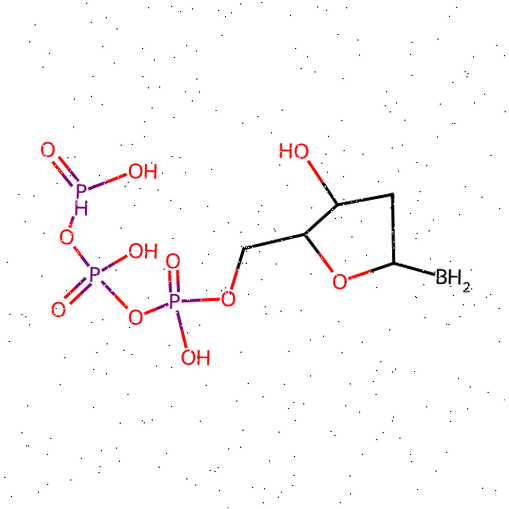 BC1CC(O)C(COP(=O)(O)OP(=O)(O)O[PH](=O)O)O1